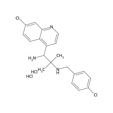 CC(C)(NCc1ccc(Cl)cc1)C(N)c1ccnc2cc(Cl)ccc12.Cl.Cl